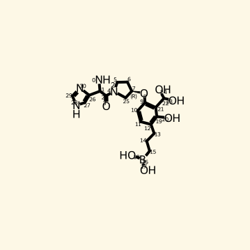 NC(C(=O)N1CC[C@@H](Oc2ccc(CCCB(O)O)c(O)c2C(O)O)C1)c1c[nH]cn1